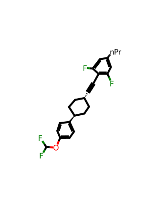 CCCc1cc(F)c(C#C[C@H]2CC[C@H](c3ccc(OC(F)F)cc3)CC2)c(F)c1